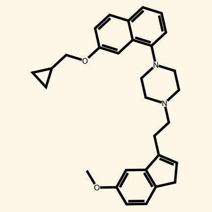 COc1ccc2c(c1)C(CCN1CCN(c3cccc4ccc(OCC5CC5)cc34)CC1)=CC2